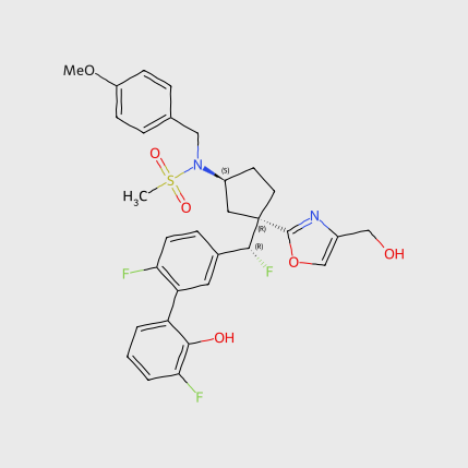 COc1ccc(CN([C@H]2CC[C@@](c3nc(CO)co3)([C@H](F)c3ccc(F)c(-c4cccc(F)c4O)c3)C2)S(C)(=O)=O)cc1